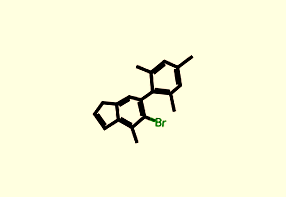 Cc1cc(C)c(-c2cc3c(c(C)c2Br)C=CC3)c(C)c1